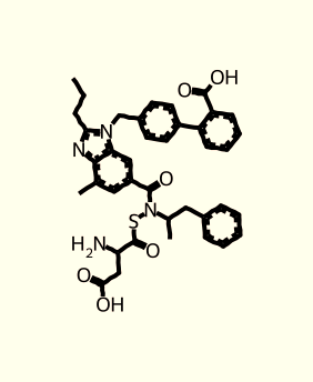 CCCc1nc2c(C)cc(C(=O)N(SC(=O)C(N)CC(=O)O)C(C)Cc3ccccc3)cc2n1Cc1ccc(-c2ccccc2C(=O)O)cc1